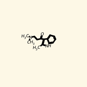 Cc1[nH]c2ccccc2c1C(=O)CCN(C)C